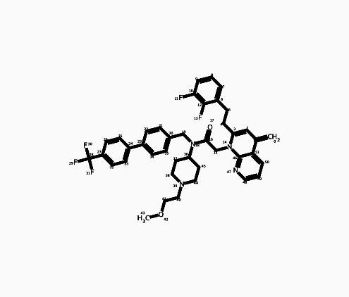 C=C1C=C(CCc2cccc(F)c2F)N(CC(=O)N(Cc2ccc(-c3ccc(C(F)(F)F)cc3)cc2)C2CCN(CCOC)CC2)c2ncccc21